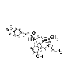 C=CCN1CC[C@@]2(c3cccc(O)c3)C[C@@H](NC(=O)C#Cc3ccc(C(F)(F)F)cc3)CC[C@]2(OC(C)=O)C1